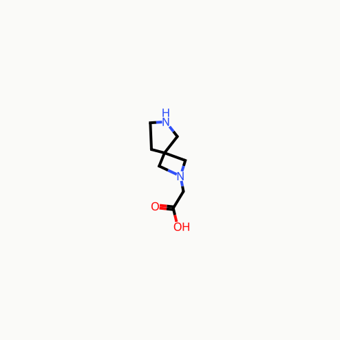 O=C(O)CN1CC2(CCNC2)C1